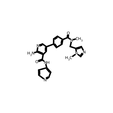 CN(Cc1cncn1C)C(=O)c1ccc(-c2cnc(N)c(C(=O)Nc3ccncc3)c2)cc1